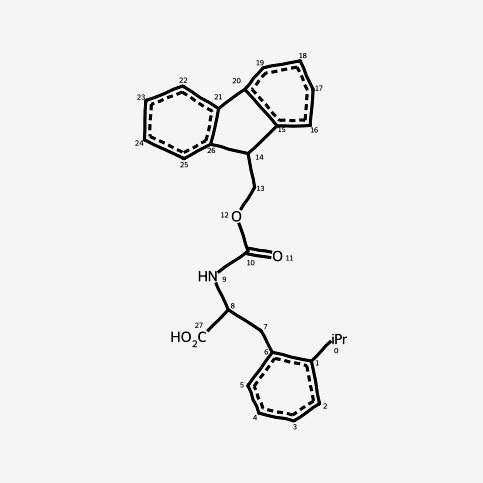 CC(C)c1ccccc1CC(NC(=O)OCC1c2ccccc2-c2ccccc21)C(=O)O